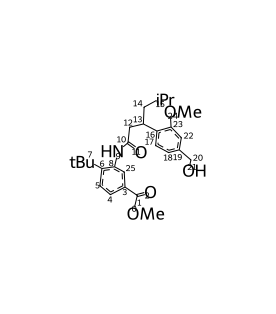 COC(=O)c1ccc(C(C)(C)C)c(NC(=O)CC(CC(C)C)c2ccc(CO)cc2OC)c1